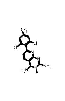 CN1C(N)=Nc2nc(-c3c(Cl)cc(C(F)(F)F)cc3Cl)ccc2C1N